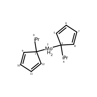 CC(C)[C]1([MoH2][C]2(C(C)C)C=CC=C2)C=CC=C1